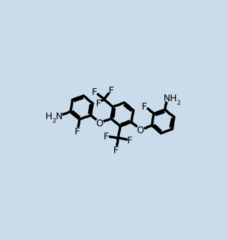 Nc1cccc(Oc2ccc(C(F)(F)F)c(Oc3cccc(N)c3F)c2C(F)(F)F)c1F